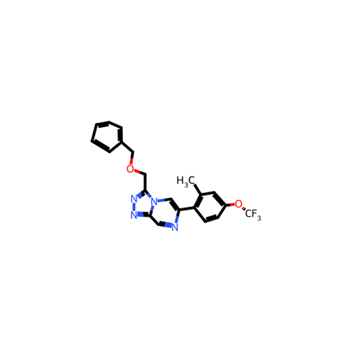 Cc1cc(OC(F)(F)F)ccc1-c1cn2c(COCc3ccccc3)nnc2cn1